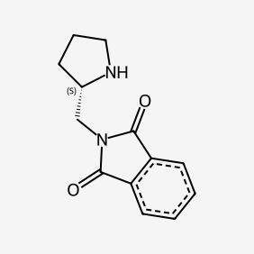 O=C1c2ccccc2C(=O)N1C[C@@H]1CCCN1